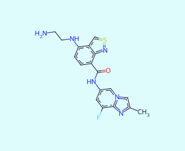 Cc1cn2cc(NC(=O)c3ccc(NCCN)c4csnc34)cc(F)c2n1